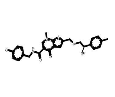 Cc1ccc([C@@H](O)COCc2cc3c(=O)c(C(=O)NCc4ccc(Cl)cc4)cn(C)c3s2)cc1